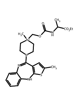 CCOC(=O)C(C)NC(=O)OC[N+]1(C)CCN(C2=Nc3ccccc3Nc3sc(C)cc32)CC1